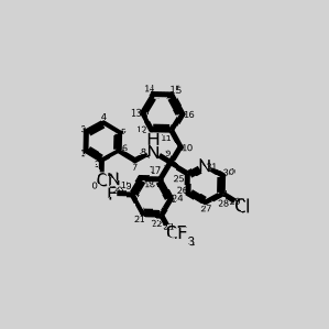 N#Cc1ccccc1CNC(Cc1ccccc1)(c1cc(F)cc(C(F)(F)F)c1)c1ccc(Cl)cn1